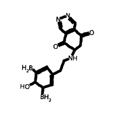 BC1=CC(CCNC2CC(=O)c3cnncc3C2=O)=CC(B)C1O